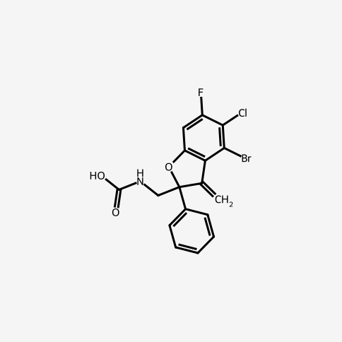 C=C1c2c(cc(F)c(Cl)c2Br)OC1(CNC(=O)O)c1ccccc1